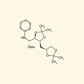 CO[C@H](Nc1ccccc1)[C@H]1OC(C)(C)O[C@H]1C[C@H]1COC(C)(C)O1